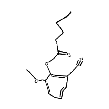 CCCCC(=O)Oc1c(C#N)cccc1OC